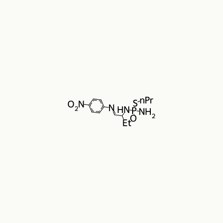 CCCSP(N)(=O)NC(C=Nc1ccc([N+](=O)[O-])cc1)CC